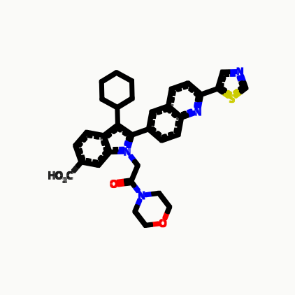 O=C(O)c1ccc2c(C3CCCCC3)c(-c3ccc4nc(-c5cncs5)ccc4c3)n(CC(=O)N3CCOCC3)c2c1